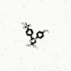 Nc1ccc(N2CC(O)(C(F)(F)F)N=C2c2ccc(S(N)(=O)=O)cc2)cc1